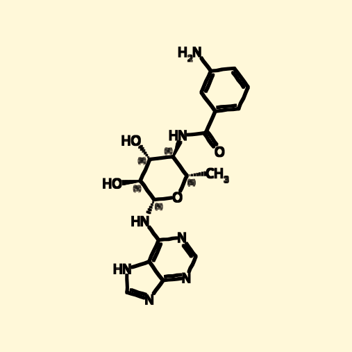 C[C@@H]1O[C@H](Nc2ncnc3nc[nH]c23)[C@@H](O)[C@H](O)[C@H]1NC(=O)c1cccc(N)c1